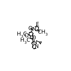 COc1cc(C(=O)N2C[C@H](C)C[C@@H](F)C2)cc2oc(-c3cc4cccnc4n3CC3CC3)c(C)c12